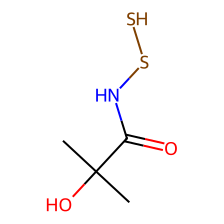 CC(C)(O)C(=O)NSS